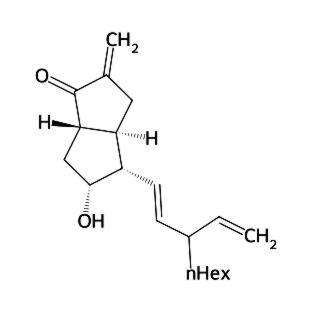 C=CC(/C=C/[C@H]1[C@@H]2CC(=C)C(=O)[C@H]2C[C@H]1O)CCCCCC